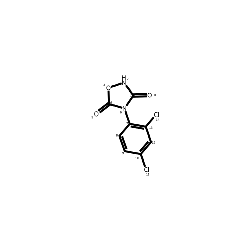 O=c1[nH]oc(=O)n1-c1ccc(Cl)cc1Cl